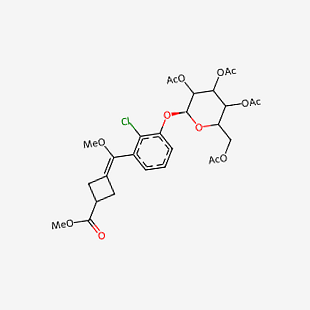 COC(=O)C1CC(=C(OC)c2cccc(O[C@@H]3OC(COC(C)=O)C(OC(C)=O)C(OC(C)=O)C3OC(C)=O)c2Cl)C1